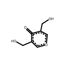 O=c1c(CO)cocc1CO